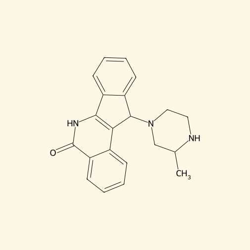 CC1CN(C2c3ccccc3-c3[nH]c(=O)c4ccccc4c32)CCN1